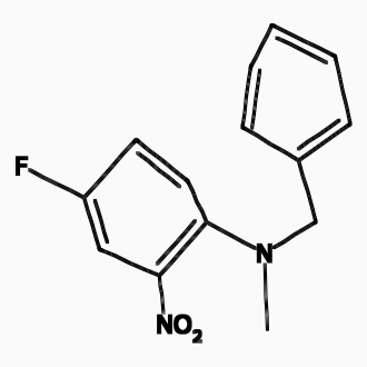 CN(Cc1ccccc1)c1ccc(F)cc1[N+](=O)[O-]